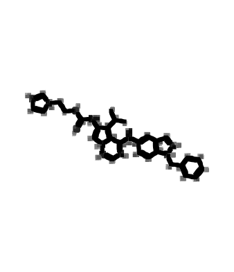 CC(C)c1c(NC(=O)OCCn2ccnc2)cn2ncnc(Nc3ccc4c(cnn4Cc4ccccc4)c3)c12